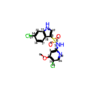 COc1cc(NS(=O)(=O)c2c[nH]c3cc(Cl)ccc23)ncc1Cl